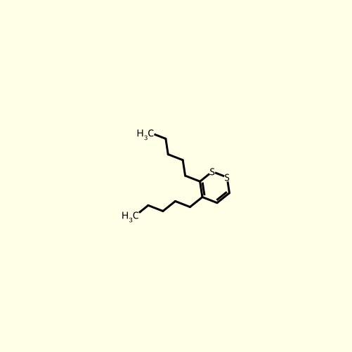 CCCCCC1=C(CCCCC)SSC=C1